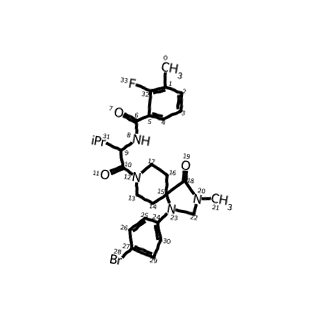 Cc1cccc(C(=O)NC(C(=O)N2CCC3(CC2)C(=O)N(C)CN3c2ccc(Br)cc2)C(C)C)c1F